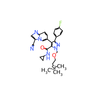 C[Si](C)(C)CCOCn1nc(-c2ccc(F)cc2)c(-c2ccc3ncc(C#N)n3c2)c1C(=O)NC1CC1